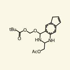 CC(=O)OCC1Nc2cc3c(cc2C(OCOC(=O)C(C)(C)C)N1)CC=C3